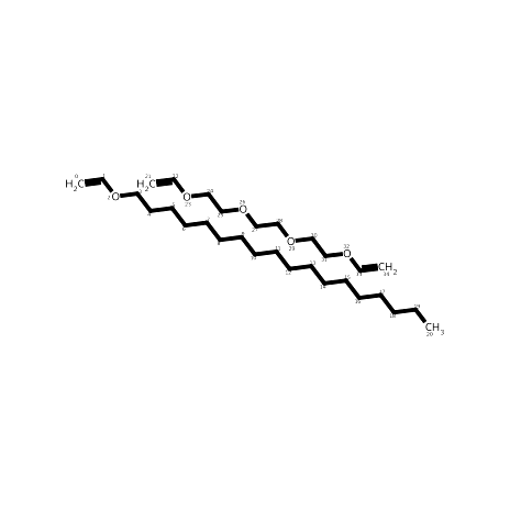 C=COCCCCCCCCCCCCCCCCCC.C=COCCOCCOCCOC=C